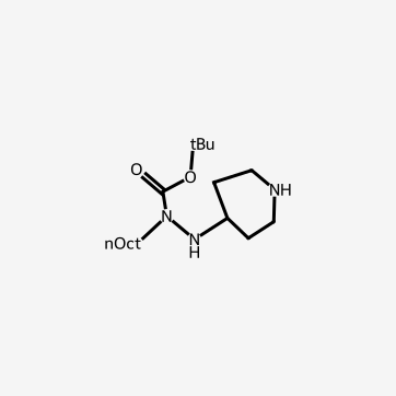 CCCCCCCCN(NC1CCNCC1)C(=O)OC(C)(C)C